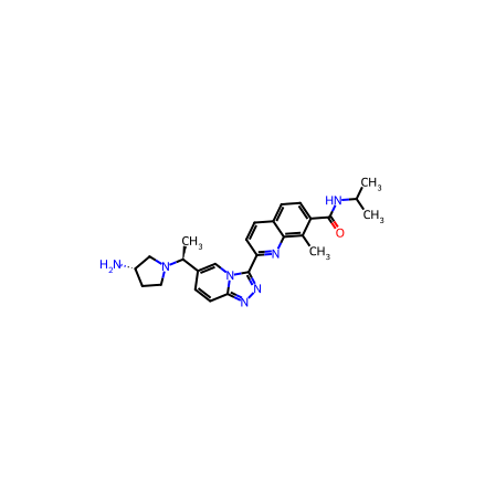 Cc1c(C(=O)NC(C)C)ccc2ccc(-c3nnc4ccc([C@H](C)N5CC[C@H](N)C5)cn34)nc12